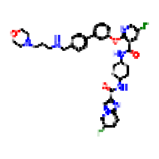 O=C(NC1CCC(NC(=O)c2cc(F)cnc2Oc2cccc(-c3ccc(CNCCCN4CCOCC4)cc3)c2)CC1)c1cn2cc(F)ccc2n1